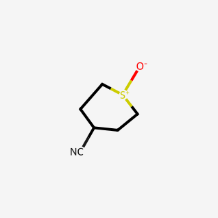 N#CC1CC[S+]([O-])CC1